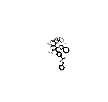 Cc1nc(C)c(C(OC(C)(C)C)C(=O)O)c(N2CCC3(CCCCCC3)C2)c1-c1ccc(C(=O)NCc2ccccc2)cc1